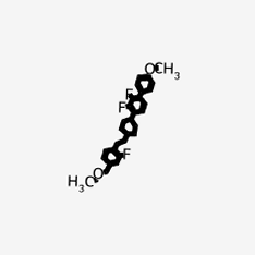 CCOCc1ccc(CCC2CCC(c3ccc(-c4ccc(OC)cc4)c(F)c3F)CC2)c(F)c1